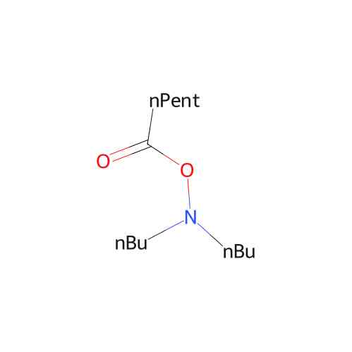 CCCCCC(=O)ON(CCCC)CCCC